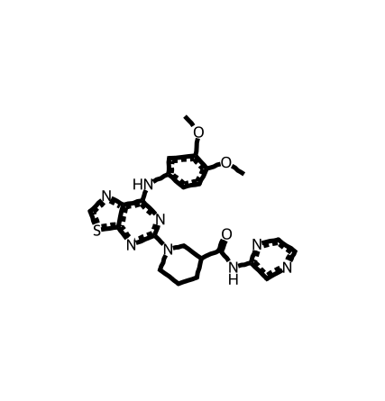 COc1ccc(Nc2nc(N3CCCC(C(=O)Nc4cnccn4)C3)nc3scnc23)cc1OC